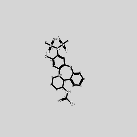 CS(=O)(=O)N(c1cc2c(cc1Cl)N1CCCC(NC(=O)C(F)(F)F)C1c1ccccc1O2)S(C)(=O)=O